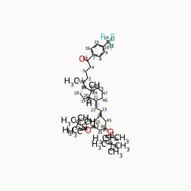 C[C@H](CCCC(=O)c1ccc(C(F)(F)F)cc1)[C@H]1CC[C@H]2/C(=C/C=C3C[C@@H](O[Si](C)(C)C(C)(C)C)C[C@H](O[Si](C)(C)C(C)(C)C)C3)CCC[C@]12C